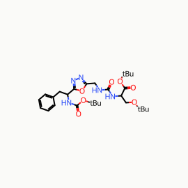 CC(C)(C)OCC(NC(=O)NCc1nnc(C(Cc2ccccc2)NC(=O)OC(C)(C)C)o1)C(=O)OC(C)(C)C